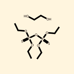 CCOP(=S)(OCC)OP(=S)(OCC)OCC.OCCO